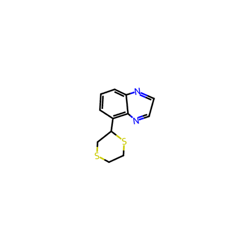 c1cc(C2CSCCS2)c2nccnc2c1